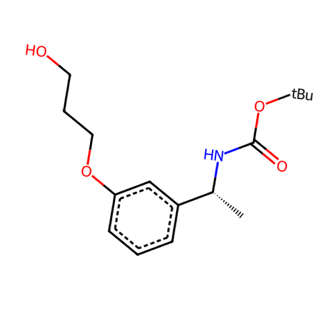 C[C@@H](NC(=O)OC(C)(C)C)c1cccc(OCCCO)c1